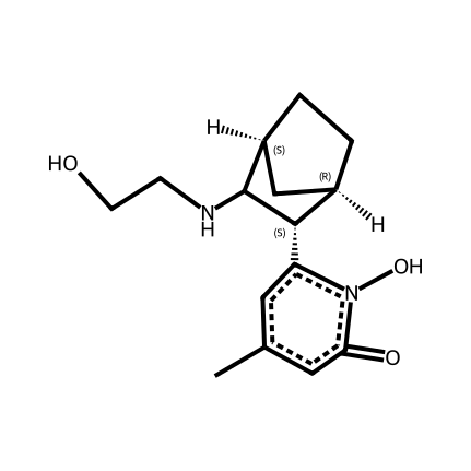 Cc1cc([C@@H]2C(NCCO)[C@H]3CC[C@@H]2C3)n(O)c(=O)c1